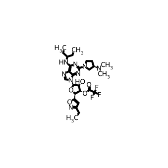 CCc1cc([C@H]2O[C@@H](n3cnc4c(NC(CC)CC)nc(N5CC[C@@H](N(C)C)C5)nc43)[C@H](O)[C@@H]2OC(=O)C(F)(F)F)on1